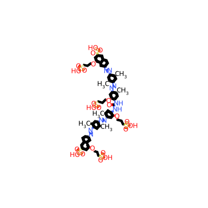 Cc1cc(N=Nc2cc(OCCCS(=O)(=O)O)c(NC(=O)Nc3cc(C)c(N=Nc4cc(C)c(/N=N/c5ccc6cc(S(=O)(=O)O)cc(OCCCS(=O)(=O)O)c6c5)cc4C)cc3OCCCS(=O)(=O)O)cc2C)c(C)cc1N=Nc1ccc2cc(S(=O)(=O)O)cc(OCCCS(=O)(=O)O)c2c1